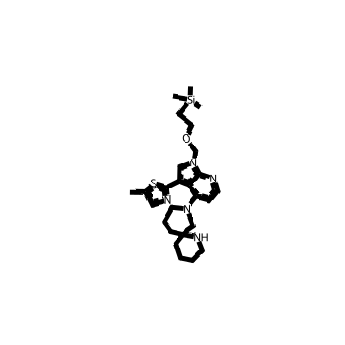 Cc1cnc(-c2cn(COCC[Si](C)(C)C)c3nccc(N4CCCC5(CCCCN5)C4)c23)s1